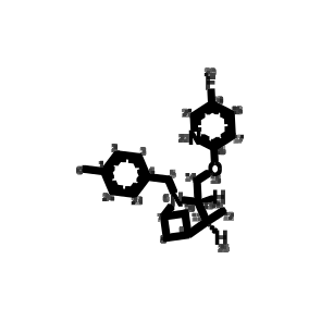 Cc1ccc(CN2C3CC(C3)[C@H](C)[C@H]2COc2ccc(F)cn2)cc1